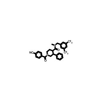 CN(Cc1cc(C(F)(F)F)cc(C(F)(F)F)c1)C(=O)C1CCN(C(=O)c2ccc(C#N)cc2)CC1c1ccccc1